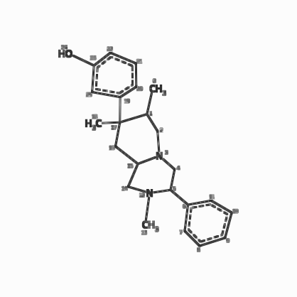 CC1CN2CC(c3ccccc3)N(C)CC2CC1(C)c1cccc(O)c1